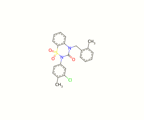 Cc1ccc(N2C(=O)N(Cc3ccccc3C)c3ccccc3S2(=O)=O)cc1Cl